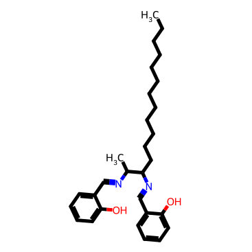 CCCCCCCCCCCCC(N=Cc1ccccc1O)C(C)N=Cc1ccccc1O